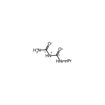 CC(C)NC(=O)NC(N)=O